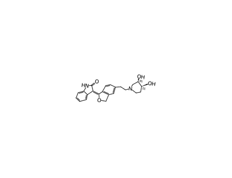 O=C1Nc2ccccc2C1=C1OCc2cc(CCN3CC[C@H](O)[C@H](O)C3)ccc21